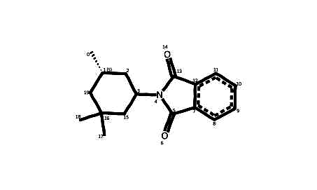 C[C@@H]1CC(N2C(=O)c3ccccc3C2=O)CC(C)(C)C1